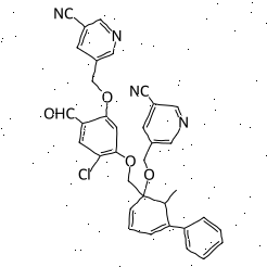 CC1C(c2ccccc2)=CC=CC1(COc1cc(OCc2cncc(C#N)c2)c(C=O)cc1Cl)OCc1cncc(C#N)c1